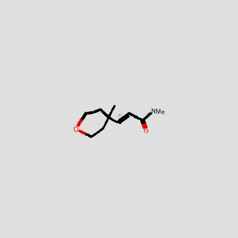 CNC(=O)/C=C/C1(C)CCOCC1